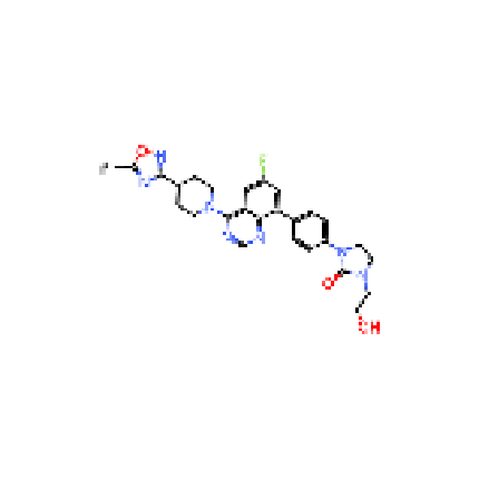 CC(C)c1nc(C2CCN(c3ncnc4c(-c5ccc(N6CCN(CCO)C6=O)cc5)cc(F)cc34)CC2)no1